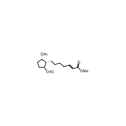 COC(=O)/C=C/CCCC[C@H]1[C@@H](OC(C)=O)CC[C@@H]1C=O